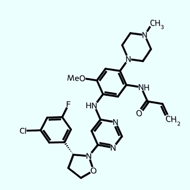 C=CC(=O)Nc1cc(Nc2cc(N3OCC[C@@H]3c3cc(F)cc(Cl)c3)ncn2)c(OC)cc1N1CCN(C)CC1